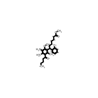 CCCCC(=O)c1c(C)c(C)c(OC)c(C(CCCCCC(=O)OC)c2ccccc2F)c1C